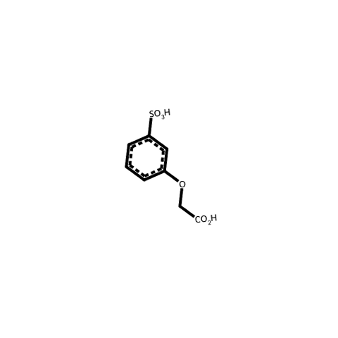 O=C(O)COc1cccc(S(=O)(=O)O)c1